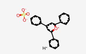 O=S(=O)([O-])[O-].[H+].c1ccc(-c2cc(-c3ccccc3)[o+]c(-c3ccccc3)c2)cc1